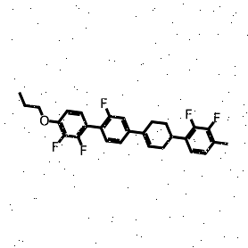 CCCOc1ccc(-c2ccc(C3=CCC(c4ccc(C)c(F)c4F)CC3)cc2F)c(F)c1F